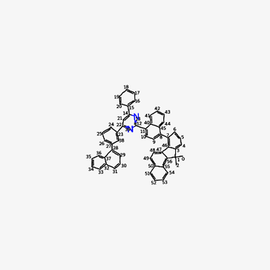 CC1(C)c2cccc(-c3ccc(-c4nc(-c5ccccc5)cc(-c5cccc(-c6cccc7ccccc67)c5)n4)c4ccccc34)c2-c2ccc3ccccc3c21